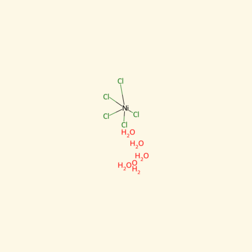 O.O.O.O.O.[Cl][Ni]([Cl])([Cl])([Cl])[Cl]